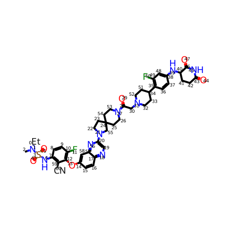 CCN(C)S(=O)(=O)Nc1ccc(F)c(Oc2ccc3ncc(N4CCC5(CCN(C(=O)CN6CCC(c7ccc(NC8CCC(=O)NC8=O)cc7F)CC6)CC5)C4)nc3c2)c1C#N